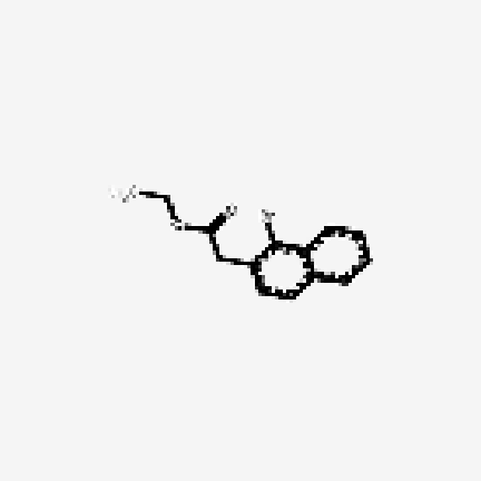 CCOC(=O)Cc1ccc2ccccc2c1Br